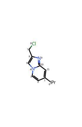 CC(C)c1ccn2cc(CCl)nc2c1